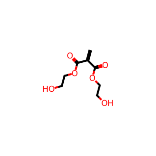 C=C(C(=O)OCCO)C(=O)OCCO